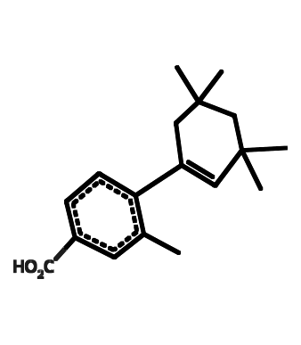 Cc1cc(C(=O)O)ccc1C1=CC(C)(C)CC(C)(C)C1